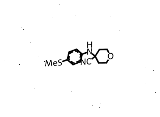 CSc1ccc(NC2(C#N)CCOCC2)cc1